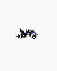 CC(=O)OC(C)(C)[C@@H](C)/C=C/[C@@H](C)[C@H]1CC[C@H]2/C(=C/[C@@H](CO)[C@]34C[C@H]3CCC4(O)CO)CCC[C@]12C